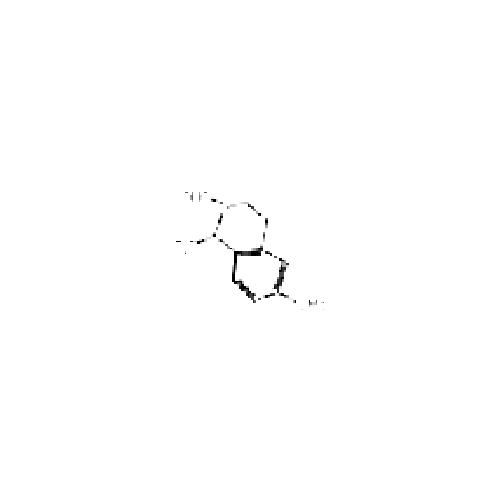 COc1ccc2c(c1)CCN(C=O)C2C(F)(F)F